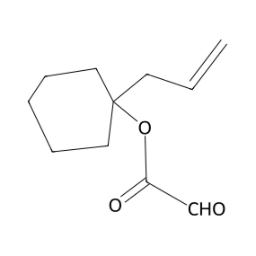 C=CCC1(OC(=O)C=O)CCCCC1